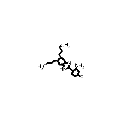 CCCCc1cc2nc(-c3ccc(F)cc3N)[nH]c2cc1CCCC